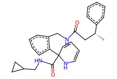 C[C@H](CC(=O)NCc1ccccc1C1(C(=O)NCC2CC2)C=CC=CN1)c1ccccc1